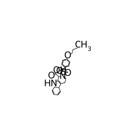 CCCCOc1ccc(S(=O)(=O)N2CCC3=C(NC4C=CC=CC34)C2C(=O)O)cc1